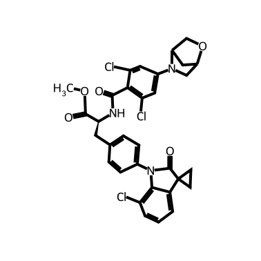 COC(=O)[C@H](Cc1ccc(N2C(=O)C3(CC3)c3cccc(Cl)c32)cc1)NC(=O)c1c(Cl)cc(N2CC3CC2CO3)cc1Cl